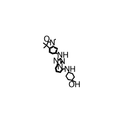 CN1C(=O)C(C)(C)c2ccc(Nc3nc4cccc(NC5CCC(C)(O)CC5)n4n3)cc21